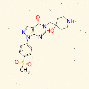 CS(=O)(=O)c1ccc(-n2ncc3c(=O)n(CC4(O)CCNCC4)cnc32)cc1